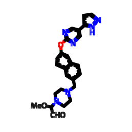 COC(C=O)N1CCN(Cc2ccc3cc(Oc4ncc(-c5ccn[nH]5)cn4)ccc3c2)CC1